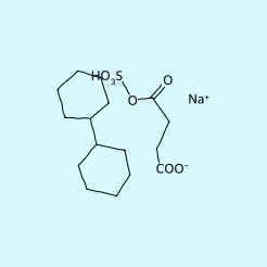 C1CCC(C2CCCCC2)CC1.O=C([O-])CCC(=O)OS(=O)(=O)O.[Na+]